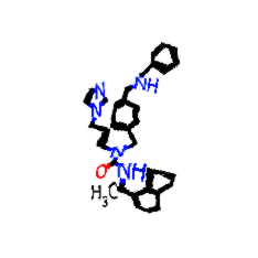 CC(NC(=O)N(CCCn1ccnc1)Cc1ccc(CNCc2ccccc2)cc1)c1cccc2ccccc12